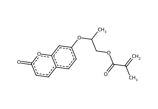 C=C(C)C(=O)OCC(C)Oc1ccc2ccc(=O)oc2c1